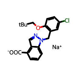 CC(C)(C)COc1ccc(Cl)cc1Cn1ncc2c(C(=O)[O-])cccc21.[Na+]